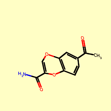 CC(=O)c1ccc2c(c1)OC=C(C(N)=O)O2